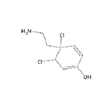 NCCC1(Cl)C=CC(O)=CC1Cl